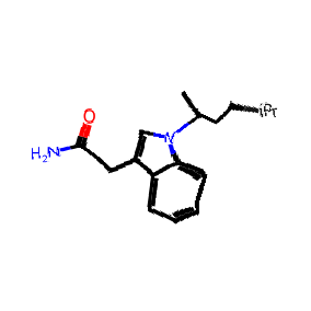 CC(C)CCC(C)n1cc(CC(N)=O)c2ccccc21